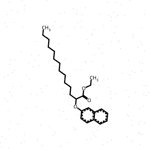 CCCCCCCCCCCCC(Oc1ccc2ccccc2c1)C(=O)OCC